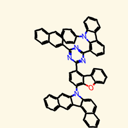 c1ccc(-n2c3ccccc3c3cccc(-c4nc(-c5ccc6ccccc6c5)nc(-c5ccc(-n6c7cc8ccccc8cc7c7c8ccccc8ccc76)c6oc7ccccc7c56)n4)c32)cc1